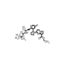 CCOC(=O)c1cnn2ccc(N3OCCC3c3cc(F)cnc3C#CC(C)NC(=O)OC(C)(C)C)nc12